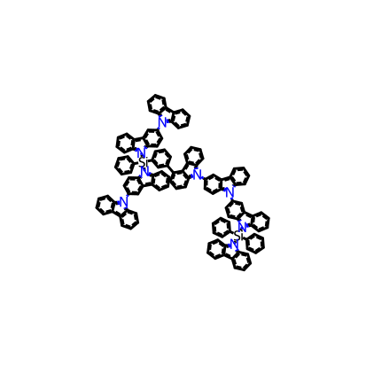 c1ccc([Si](c2ccccc2)(n2c3ccccc3c3ccccc32)n2c3ccccc3c3cc(-n4c5ccccc5c5cc(-n6c7ccccc7c7c(-c8cccc([Si](c9ccccc9)(n9c%10ccccc%10c%10cc(-n%11c%12ccccc%12c%12ccccc%12%11)ccc%109)n9c%10ccccc%10c%10cc(-n%11c%12ccccc%12c%12ccccc%12%11)ccc%109)c8)cccc76)ccc54)ccc32)cc1